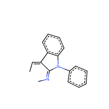 C/C=C1\C(=N/C)N(c2ccccc2)c2ccccc21